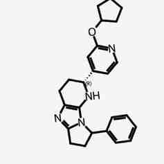 c1ccc(C2CCc3nc4c(n32)N[C@@H](c2ccnc(OC3CCCC3)c2)CC4)cc1